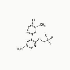 Cc1cc(-c2cc(N)cnc2OCC(F)(F)F)ccc1Cl